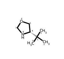 CC(C)(C)[C@H]1COCN1